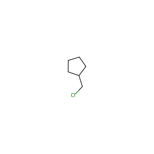 ClCC1CCCC1